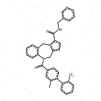 Cc1cc(C(=O)N2Cc3ccc(C(=O)NCc4cccnc4)n3Cc3ccccc32)ccc1-c1ccccc1C(F)(F)F